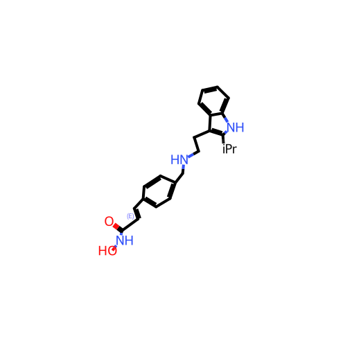 CC(C)c1[nH]c2ccccc2c1CCNCc1ccc(/C=C/C(=O)NO)cc1